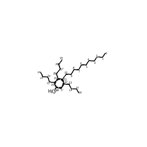 CCCCCCCCCCCc1c(CCCC)cc(O)c(CCCC)c1CCCC